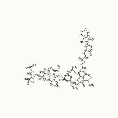 CC1COc2ccccc2N1C(=O)C(Cl)Cl.CCNc1nc(Cl)nc(NC(C)C)n1.CCOC(=O)/C(Cl)=C/c1cc(N2C(=O)C3=C(CCCC3)C2=O)ccc1Cl.CCc1cccc(C)c1N(C(=O)CCl)C(C)COC.C[S+](C)C.O=C(O)CNCP(=O)([O-])O